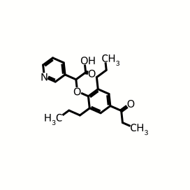 CCCc1cc(C(=O)CC)cc(CCC)c1OC(C(=O)O)c1cccnc1